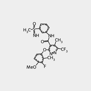 COc1ccc(Oc2nnc(C(F)(F)F)c(C)c2C(=O)Nc2cccc(S(C)(=N)=O)c2)c(C)c1F